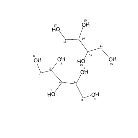 OCC(O)C(O)C(O)CO.OCC(O)C(O)CO